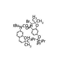 CC(C)[Si](Oc1ccc2c(c1)OC(C)(C)C(Br)C2=O)(C(C)C)C(C)C.CC1(C)C=Cc2ccc(N(C(=O)O)C(C)(C)C)cc2O1